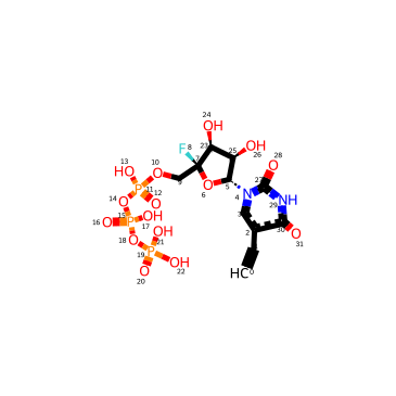 C#Cc1cn([C@@H]2O[C@](F)(COP(=O)(O)OP(=O)(O)OP(=O)(O)O)[C@@H](O)[C@H]2O)c(=O)[nH]c1=O